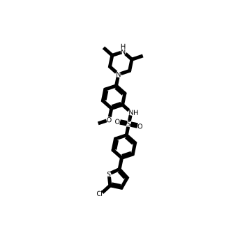 COc1ccc(N2CC(C)NC(C)C2)cc1NS(=O)(=O)c1ccc(-c2ccc(Cl)s2)cc1